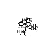 CCN(CC)C(CCC(C)N)c1c2ccccc2nc2ccccc12